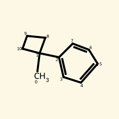 CC1(c2cc[c]cc2)CCC1